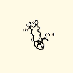 CCCC1(CCCOC(=C(C)C(=O)O)C23CC4CC(CC(OCCCC5(CCC)CCO5)(C4)C2)C3)CCO1